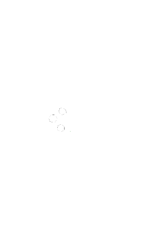 OCCCCCCCCC[P+](c1ccccc1)(c1ccccc1)c1ccccc1.[Br-]